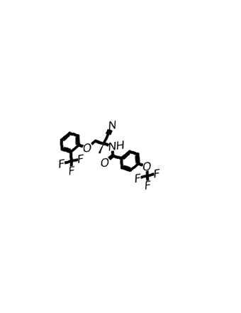 C[C@](C#N)(COc1ccccc1C(F)(F)F)NC(=O)c1ccc(OC(F)(F)F)cc1